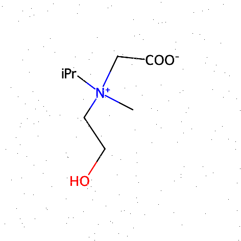 CC(C)[N+](C)(CCO)CC(=O)[O-]